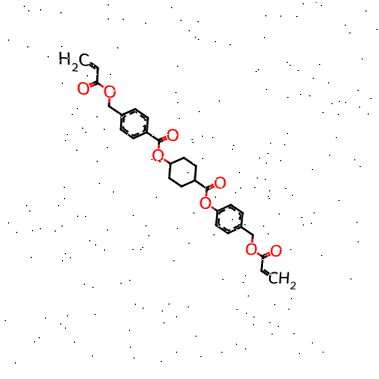 C=CC(=O)OCc1ccc(OC(=O)C2CCC(OC(=O)c3ccc(COC(=O)C=C)cc3)CC2)cc1